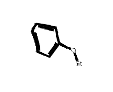 CCOc1c[c]c[c]c1